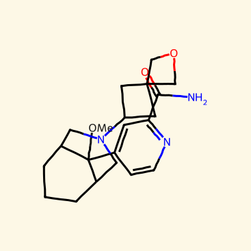 COC1(c2ccnc(C(N)=O)c2)C2CCCC1CN(C1CC3(COC3)C1)C2